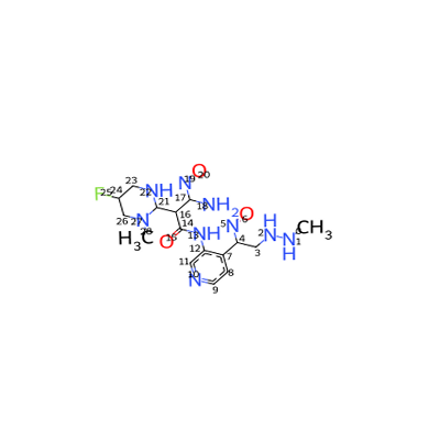 CNNCC(N=O)c1ccncc1NC(=O)C(C(N)N=O)C1NCC(F)CN1C